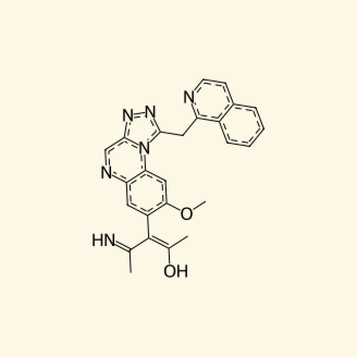 COc1cc2c(cc1/C(C(C)=N)=C(\C)O)ncc1nnc(Cc3nccc4ccccc34)n12